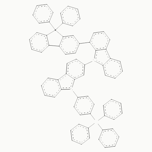 c1ccc(C2(c3ccccc3)c3ccccc3-c3ccc(-c4cccc5c6ccccc6n(-c6ccc7c8ccccc8n(-c8ccc([Si](c9ccccc9)(c9ccccc9)c9ccccc9)cc8)c7c6)c45)cc32)cc1